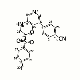 N#Cc1ccc(-c2cncc3c2OC(S(=O)(=O)c2ccc(F)cc2)CN3)cc1